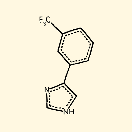 FC(F)(F)c1cccc(-c2c[nH]cn2)c1